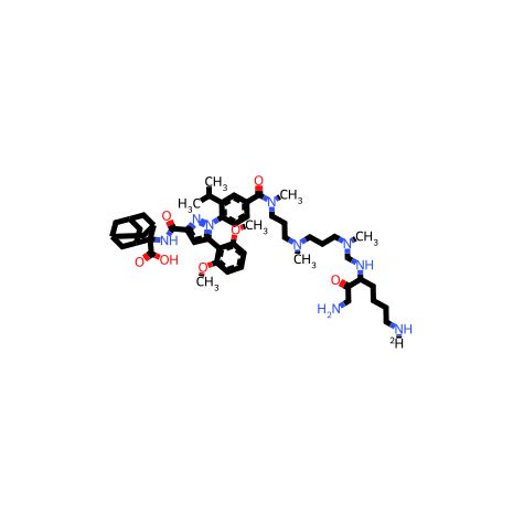 [2H]NCCCCC(NCN(C)CCCN(C)CCCN(C)C(=O)c1ccc(-n2nc(C(=O)NC3(C(=O)O)C4CC5CC(C4)CC3C5)cc2-c2c(OC)cccc2OC)c(C(C)C)c1)C(=O)CN